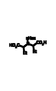 CCCCCCN(C(CC)C(=O)O)C(CC)C(=O)O